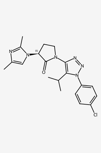 Cc1cn([C@H]2CCN(c3nnn(-c4ccc(Cl)cc4)c3C(C)C)C2=O)c(C)n1